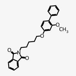 COc1cc(OCCCCCN2C(=O)c3ccccc3C2=O)ccc1-c1ccccc1